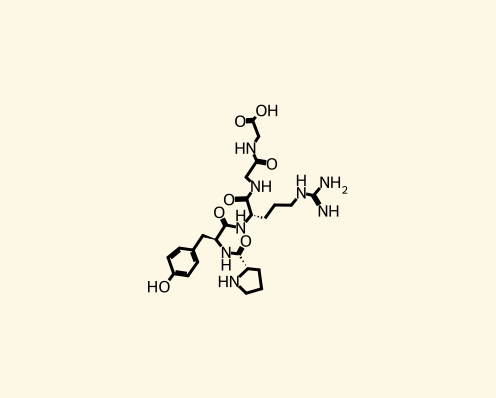 N=C(N)NCCC[C@H](NC(=O)[C@H](Cc1ccc(O)cc1)NC(=O)[C@@H]1CCCN1)C(=O)NCC(=O)NCC(=O)O